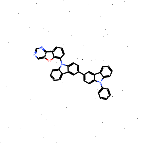 c1ccc(-n2c3ccccc3c3cc(-c4ccc5c(c4)c4ccccc4n5-c4cccc5c4oc4cncnc45)ccc32)cc1